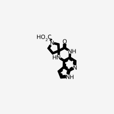 O=C(O)N1CCC2(C1)Nc1c(cnc3[nH]ccc13)NC2=O